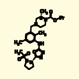 Cc1cc(CN2CCN(C(=O)OC(C)C)[C@@H](C)C2)c(C)c(Nc2nnc([C@@H]3CCCN3S(C)(=O)=O)o2)c1